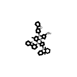 Cc1cc2c3c(c1)N(c1cccc4c1sc1ccccc14)c1cc(N4c5ccccc5C5(C)CCCCC45C)ccc1B3c1ccc(C(C)(C)C)cc1N2c1ccc2c(c1)oc1ccccc12